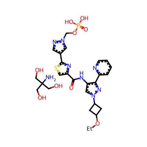 CCOC1CC(n2cc(NC(=O)c3csc(-c4cnn(COP(=O)(O)O)c4)n3)c(-c3ccccn3)n2)C1.NC(CO)(CO)CO